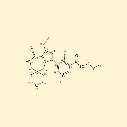 CCCOC(=O)c1cc(C)cc(-n2nc(CC)c3c2CC2(CCOCC2)CNC3=O)c1F